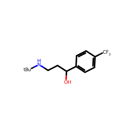 CC(C)(C)NCCC(O)c1ccc(C(F)(F)F)cc1